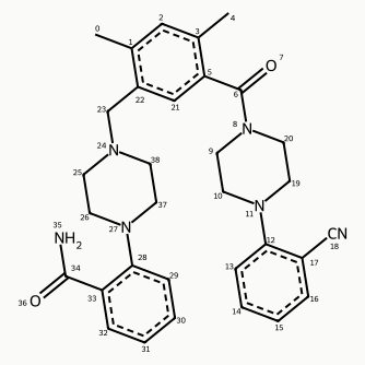 Cc1cc(C)c(C(=O)N2CCN(c3ccccc3C#N)CC2)cc1CN1CCN(c2ccccc2C(N)=O)CC1